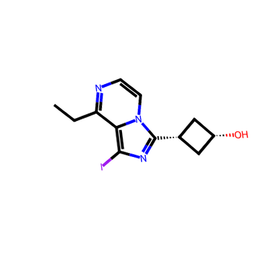 CCc1nccn2c1c(I)nc2[C@H]1C[C@@H](O)C1